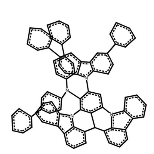 c1ccc(-c2ccc(N(c3ccc(-c4ccccc4)cc3)c3c(-n4c5ccc(-c6ccccc6)cc5c5cc(-c6ccccc6)ccc54)cc4c5c3-n3c6ccccc6c6cccc(c63)C5c3cccc5c6ccccc6n-4c35)cc2)cc1